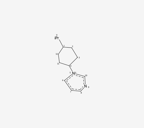 CC(C)C1CCC([n+]2cccnc2)CC1